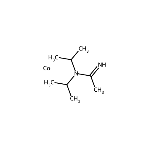 CC(=N)N(C(C)C)C(C)C.[Co]